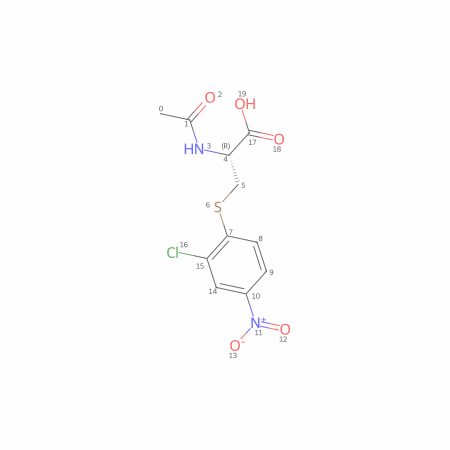 CC(=O)N[C@@H](CSc1ccc([N+](=O)[O-])cc1Cl)C(=O)O